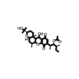 CC[C@H](C)[C@@H](OC(C)=O)[C@@H](C)C1=CC(=O)C2=C(OC3C(C2O)[C@@]2(C)CC[C@H](C(C)(C)O)O[C@@H]2C[C@@H]3C)C1=O